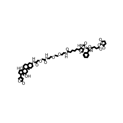 CC12CCC(NC(=O)COCC(=O)NCCOCCOCCNC(=O)CCCCC3SCC4C3NC(=O)N4c3oc(CCC(=O)ON4C(=O)CCC4=O)nc3-c3ccccc3)CC1CCC1C2CC(O)C2(C)C(C3=CC(=O)OC3)CCC12O